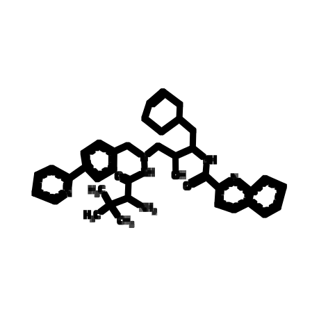 CC(C)(C)C(N)C(=O)NN(Cc1ccc(-c2ccccn2)cc1)CC(O)C(CC1CC=CCC1)NC(=O)c1ccc2ccccc2n1